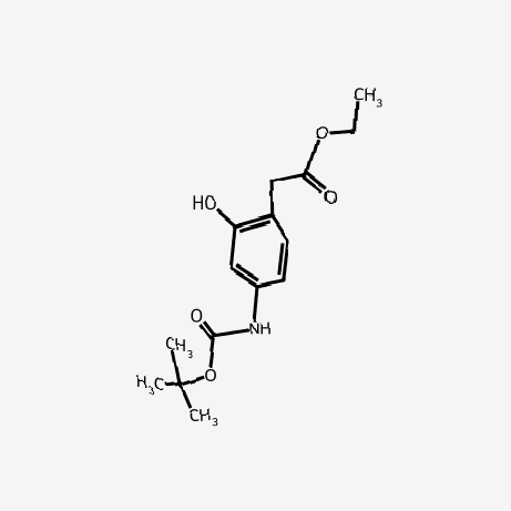 CCOC(=O)Cc1ccc(NC(=O)OC(C)(C)C)cc1O